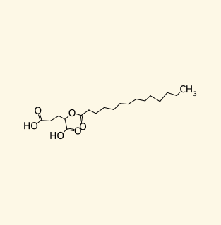 CCCCCCCCCCCCCC(=O)OC(CCC(=O)O)C(=O)O